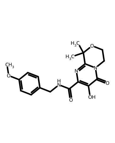 COc1ccc(CNC(=O)c2nc3n(c(=O)c2O)CCOC3(C)C)cc1